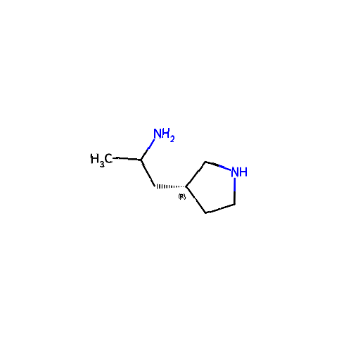 CC(N)C[C@H]1CCNC1